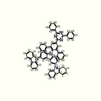 C1=Cc2c(n(-c3ccc4c(c3)c3cc(-n5c6ccccc6c6ccccc65)ccc3n4-c3c(-c4ccccc4)cc(-c4nc(-c5ccccc5)nc(-c5ccccc5)n4)cc3-c3ccccc3)c3ccccc23)CC1